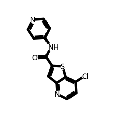 O=C(Nc1ccncc1)c1cc2nccc(Cl)c2s1